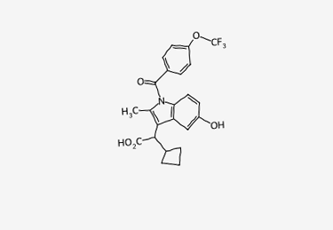 Cc1c(C(C(=O)O)C2CCC2)c2cc(O)ccc2n1C(=O)c1ccc(OC(F)(F)F)cc1